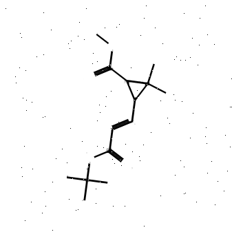 COC(=O)C1C(/C=C/C(=O)OC(C)(C)C)C1(C)C